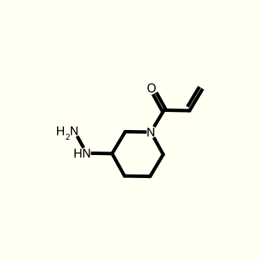 C=CC(=O)N1CCCC(NN)C1